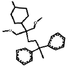 COCC(CCC(C)(c1ccccc1)c1ccccc1)(COC)C1CCC(C)CC1